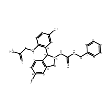 O=C(O)COc1ccc(Cl)cc1C1c2ccc(F)cc2CN1OC(=O)OCc1ccccc1